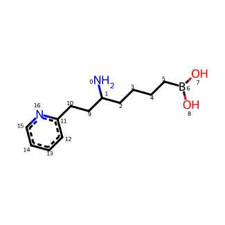 NC(CCCCB(O)O)CCc1ccccn1